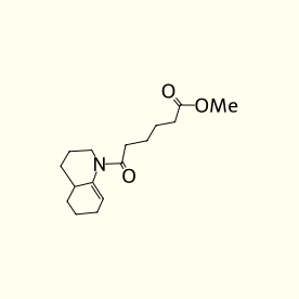 COC(=O)CCCCC(=O)N1CCCC2CCCC=C21